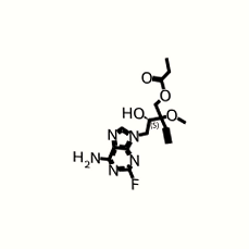 C#CC(COC(=O)CC)(OC)[C@@H](O)Cn1cnc2c(N)nc(F)nc21